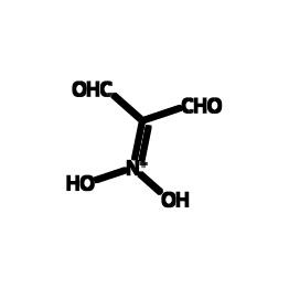 O=CC(C=O)=[N+](O)O